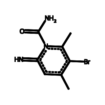 Cc1cc(=N)n(C(N)=O)c(C)c1Br